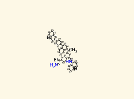 CCC(CN)C1CCC(C(CCC(C)C2CCC(C3C=CC(C4=CC5CCCC[C@@H]5CC4)CC3)C3C=CCCC32)CN[C@H]2C=CC[C@H]3CCCCC32)CC1